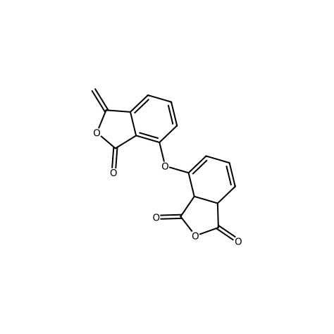 C=C1OC(=O)c2c(OC3=CC=CC4C(=O)OC(=O)C34)cccc21